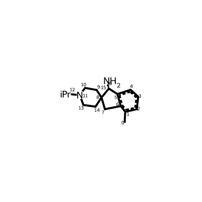 Cc1cccc2c1CC1(CCN(C(C)C)CC1)[C@H]2N